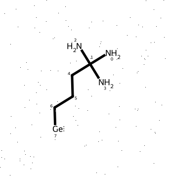 NC(N)(N)CC[CH2][Ge]